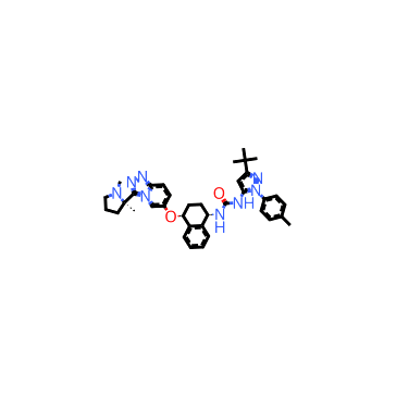 Cc1ccc(-n2nc(C(C)(C)C)cc2NC(=O)N[C@H]2CC[C@@H](Oc3ccc4nnc([C@@]5(C)CCCN5C)n4c3)c3ccccc32)cc1